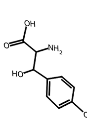 NC(C(=O)O)C(O)c1ccc(Cl)cc1